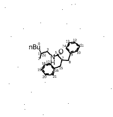 CCCC[C@H](C)CNC(=O)C(Cc1ccccc1)Cc1ccccc1